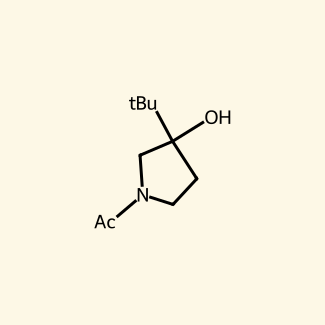 CC(=O)N1CCC(O)(C(C)(C)C)C1